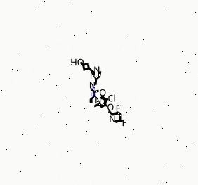 C=C/C(=C(C)\C=N/Cc1ccnc(C2CC(O)C2)n1)n1c(C)cc(OCc2ncc(F)cc2F)c(Cl)c1=O